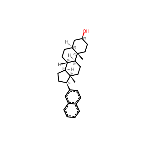 C[C@]12CC[C@H](O)C[C@@H]1CC[C@@H]1[C@@H]2CC[C@]2(C)[C@@H](c3ccc4ccccc4c3)CC[C@@H]12